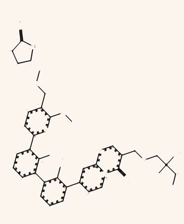 COc1nc(-c2cccc(-c3cccc(-c4ccn5c(=O)c(CNCC(F)(F)CO)cnc5c4)c3Cl)c2Cl)ccc1CNC[C@@H]1CCC(=O)N1